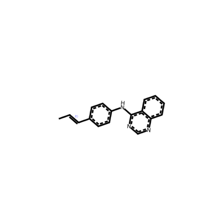 C/C=C/c1ccc(Nc2ncnc3ccccc23)cc1